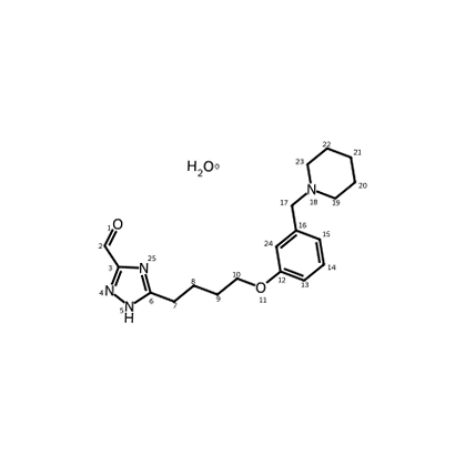 O.O=Cc1n[nH]c(CCCCOc2cccc(CN3CCCCC3)c2)n1